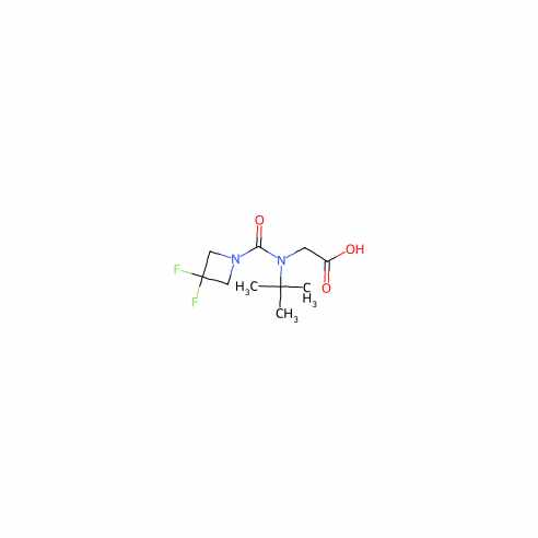 CC(C)(C)N(CC(=O)O)C(=O)N1CC(F)(F)C1